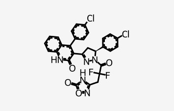 O=C(N1N=C(c2c(-c3ccc(Cl)cc3)c3ccccc3[nH]c2=O)C[C@H]1c1ccc(Cl)cc1)C(F)(F)Cc1noc(=O)[nH]1